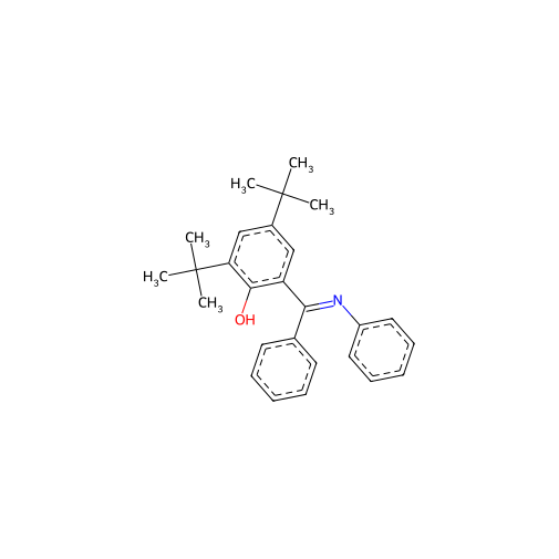 CC(C)(C)c1cc(C(=Nc2ccccc2)c2ccccc2)c(O)c(C(C)(C)C)c1